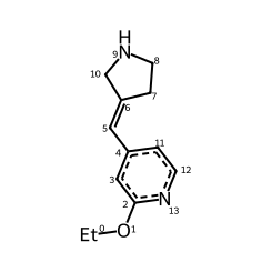 CCOc1cc(/C=C2\CCNC2)ccn1